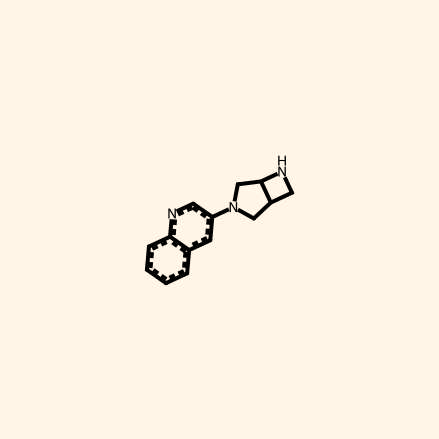 c1ccc2ncc(N3CC4CNC4C3)cc2c1